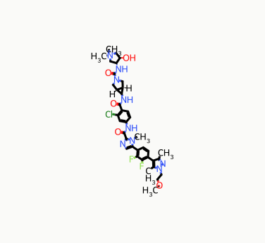 COCCn1nc(C)c(-c2ccc(-c3cnc(C(=O)Nc4ccc(C(=O)NC5[C@H]6CN(C(=O)N[C@@H]7C[N+](C)(C)C[C@H]7O)C[C@@H]56)c(Cl)c4)n3C)c(F)c2F)c1C